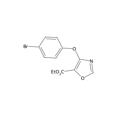 CCOC(=O)c1ocnc1Oc1ccc(Br)cc1